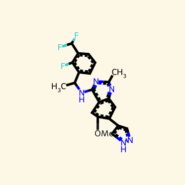 COc1cc2c(NC(C)c3cccc(C(F)F)c3F)nc(C)nc2cc1-c1cn[nH]c1